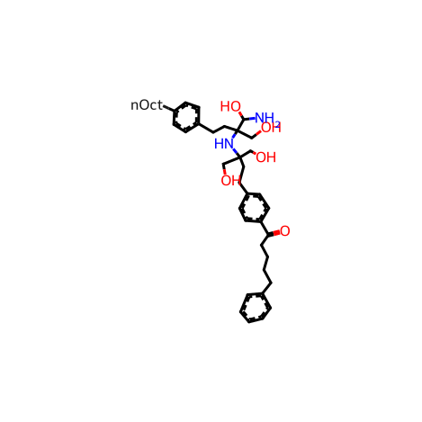 CCCCCCCCc1ccc(CCC(CO)(NC(CO)(CO)CCc2ccc(C(=O)CCCCc3ccccc3)cc2)C(N)O)cc1